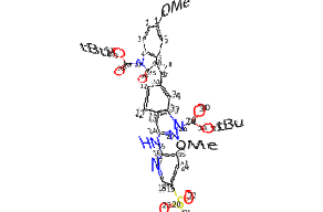 COc1ccc2c(c1)[C@]1(C[C@H]1c1ccc3c(Nc4ncc(S(C)(=O)=O)cc4OC)nn(C(=O)OC(C)(C)C)c3c1)C(=O)N2C(=O)OC(C)(C)C